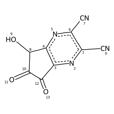 N#Cc1nc2c(nc1C#N)C(O)C(=O)C2=O